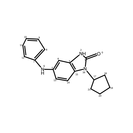 O=c1[nH]c2cc(Nc3ccccc3)ccc2n1C1CCCC1